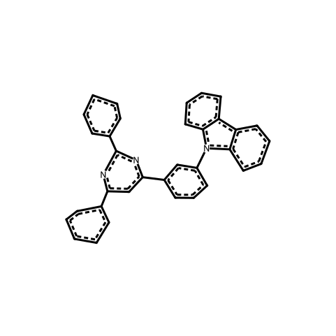 c1ccc(-c2cc(-c3cccc(-n4c5ccccc5c5ccccc54)c3)nc(-c3ccccc3)n2)cc1